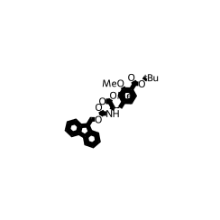 COC(=O)[C@H](Cc1ccc(C(=O)OC(C)(C)C)c(OC)c1)NC(=O)OCC1c2ccccc2-c2ccccc21